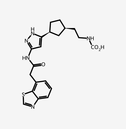 O=C(O)NCC[C@@H]1CC[C@H](c2cc(NC(=O)Cc3cccc4ncsc34)n[nH]2)C1